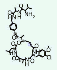 COc1ccc(C[C@H]2NC(=O)/C=C/C[C@@H](C(C)[C@H]3O[C@@H]3c3ccc(CNC(=O)C(C)NC(=O)C(N)C(C)C)cc3)OC(=O)[C@H](CC(C)C)NC(=O)C(C)(C)C(C)NC2=O)cc1Cl